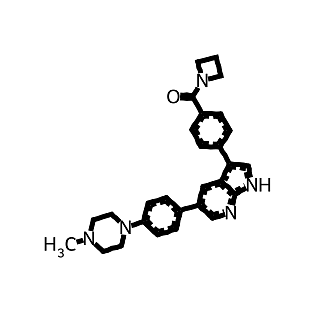 CN1CCN(c2ccc(-c3cnc4[nH]cc(-c5ccc(C(=O)N6CCC6)cc5)c4c3)cc2)CC1